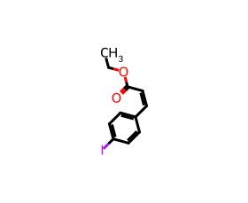 CCOC(=O)/C=C\c1ccc(I)cc1